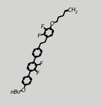 C=CCCCOc1ccc(CCc2ccc(-c3ccc(-c4ccc(OCCCC)cc4)c(F)c3F)cc2)c(F)c1F